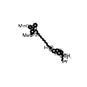 COc1ccc(C(OCCC(O)CCCCCCCCCCCNC(=O)O[C@H]2CC[C@@]3(C)C(=CC[C@H]4[C@@H]5CC[C@H]([C@H](C)CCCC(C)C)[C@@]5(C)CC[C@@H]43)C2)(c2ccccc2)c2ccc(OC)cc2)cc1